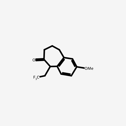 COc1ccc2c(c1)CCCC(=O)C2CC(F)(F)F